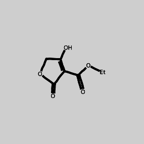 CCOC(=O)C1=C(O)COC1=O